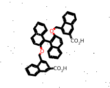 O=C(O)c1cc(COc2ccc3ccccc3c2-c2c(OCc3cc(C(=O)O)cc4ccccc34)ccc3ccccc23)c2ccccc2c1